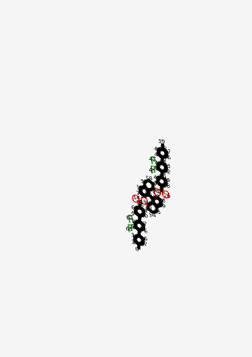 Cc1ccc(-c2ccc(-c3ccc(C(=O)Oc4ccc5c(c4-c4c(OC(=O)c6ccc(-c7ccc(-c8ccc(C)cc8)c(F)c7F)cc6)ccc6c4CCCC6)CCCC5)cc3)c(F)c2F)cc1